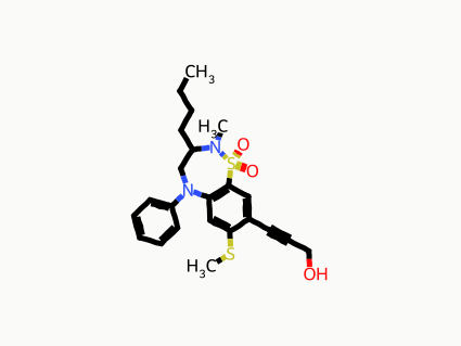 CCCCC1CN(c2ccccc2)c2cc(SC)c(C#CCO)cc2S(=O)(=O)N1C